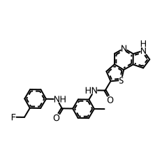 Cc1ccc(C(=O)Nc2cccc(CF)c2)cc1NC(=O)c1cc2cnc3[nH]ccc3c2s1